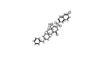 O=C1CN(S(=O)(=O)c2ccc3cc(Cl)ccc3c2)CC2(CO)OCC3(CCN(Cc4ccccc4)CC3)CN12